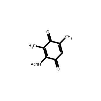 CC(=O)NC1=C(C)C(=O)C(C)=CC1=O